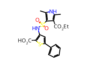 CCOC(=O)c1c(C)[nH]c(C)c1S(=O)(=O)Nc1cc(-c2ccccc2)sc1C(=O)O